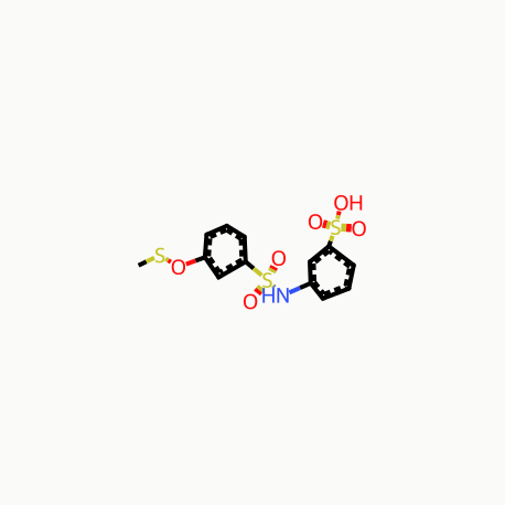 CSOc1cccc(S(=O)(=O)Nc2cccc(S(=O)(=O)O)c2)c1